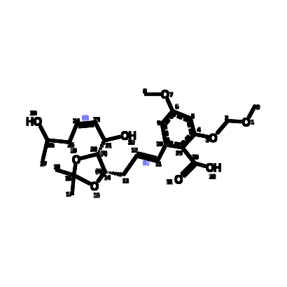 COCOc1cc(OC)cc(/C=C/C[C@@H]2OC(C)(C)O[C@@H]2C(O)/C=C\CC(C)O)c1C(=O)O